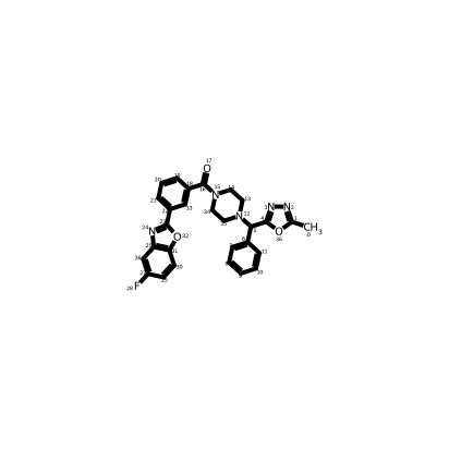 Cc1nnc(C(c2ccccc2)N2CCN(C(=O)c3cccc(-c4nc5cc(F)ccc5o4)c3)CC2)o1